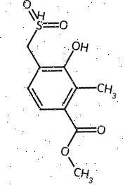 COC(=O)c1ccc(C[SH](=O)=O)c(O)c1C